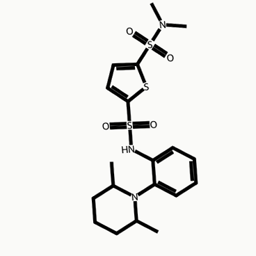 CC1CCCC(C)N1c1ccccc1NS(=O)(=O)c1ccc(S(=O)(=O)N(C)C)s1